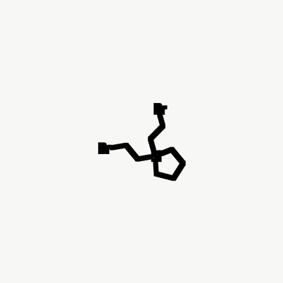 BrCC[Si]1(CCBr)CCCC1